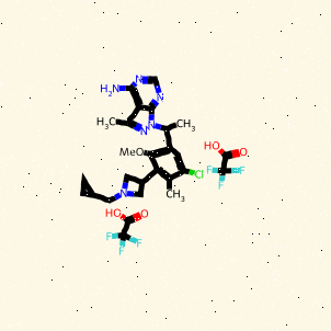 COc1c(C(C)n2nc(C)c3c(N)ncnc32)cc(Cl)c(C)c1C1CN(CC2CC2)C1.O=C(O)C(F)(F)F.O=C(O)C(F)(F)F